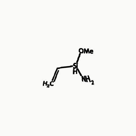 C=C[SiH](N)OC